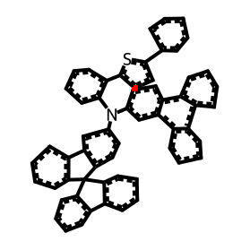 c1ccc(-c2ccc(-c3ccccc3N(c3ccc4c(c3)-c3ccccc3C43c4ccccc4-c4ccccc43)c3ccc4c5ccccc5c5ccccc5c4c3)s2)cc1